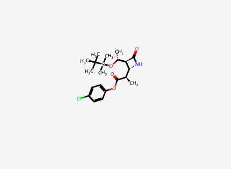 C[C@@H](O[Si](C)(C)C(C)(C)C)[C@H]1C(=O)N[C@@H]1[C@@H](C)C(=O)Oc1ccc(Cl)cc1